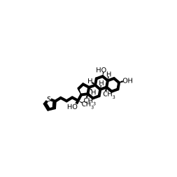 C[C@]12CC[C@H](O)C[C@@H]1[C@@H](O)C[C@@H]1[C@@H]2CC[C@@]2(C)[C@H]1CC[C@@H]2[C@@](C)(O)CCCc1cccs1